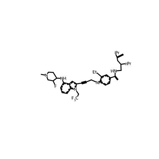 C=C(NCC(CCC)CC(=C)C(C)C)c1ccc(NCC#Cc2cc3c(NC4CCN(C)CC4F)cccc3n2CC(F)(F)F)c(CC)c1